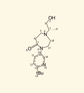 C[C@@H](CO)N1CCC(=O)N(c2ccc(C(C)(C)C)nc2)CC1